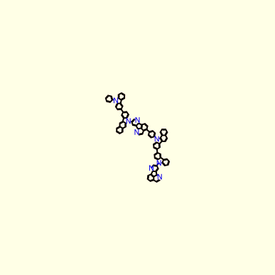 c1ccc(-n2c3ccccc3c3cc(-c4ccc5c(c4)c4cc6ccccc6cc4n5-c4cnc5c(c4)-c4nccc6c(-c7ccc(-n8c9ccc(-c%10ccc%11c(c%10)c%10ccccc%10n%11-c%10cnc%11c(c%10)-c%10nccc%12cccc-%11c%10%12)cc9c9ccc%10ccccc%10c98)cc7)ccc-5c46)ccc32)cc1